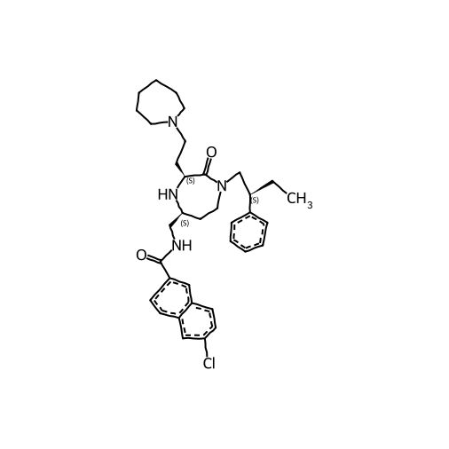 CC[C@H](CN1CC[C@@H](CNC(=O)c2ccc3cc(Cl)ccc3c2)N[C@@H](CCN2CCCCCC2)C1=O)c1ccccc1